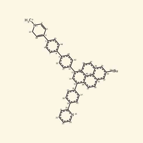 CN1C=CC(c2ccc(-c3ccc(-c4cc(-c5ccc(-c6ccccn6)cc5)c5ccc6cc(C(C)(C)C)cc7ccc4c5c76)cc3)cc2)=CC1